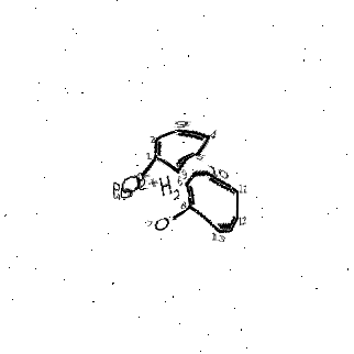 [O-]c1ccccc1.[O-]c1ccccc1.[PbH2+2]